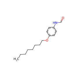 CCCCCCCCOc1ccc(NC=O)cc1